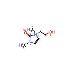 CN1C=C[N+](C)(CCO)C1=O